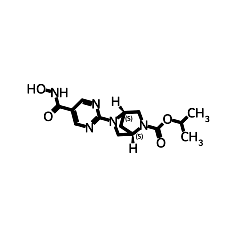 CC(C)OC(=O)N1C[C@@H]2C[C@H]1CN2c1ncc(C(=O)NO)cn1